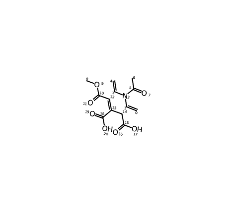 C=CN(C=C)C(C)=O.COC(=O)C=C(CC(=O)O)C(=O)O